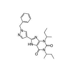 CCC(C)n1c(=O)c2[nH]c(-c3cnn(Cc4ccccc4)c3)nc2n(C(C)CC)c1=O